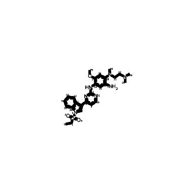 CCS(=O)(=O)n1cc(-c2ccnc(Nc3cc(N)c(N(C)CCN(C)C)cc3OC)n2)c2ccccc21